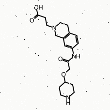 O=C(O)CCN1CCc2ccc(NC(=O)COC3CCNCC3)cc2C1